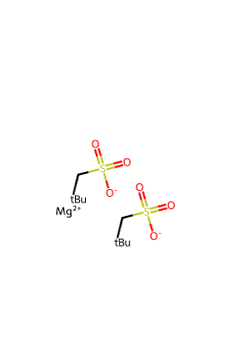 CC(C)(C)CS(=O)(=O)[O-].CC(C)(C)CS(=O)(=O)[O-].[Mg+2]